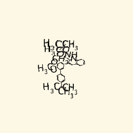 COc1cc(-c2cc3ccccc3nc2CNC(=O)OC(C)(C)C)cc(-c2ccc(C(C)(C)C)cc2)c1OC